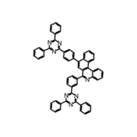 c1ccc(-c2nc(-c3ccccc3)nc(-c3ccc(-c4cc5c(-c6cccc(-c7nc(-c8ccccc8)nc(-c8ccccc8)n7)c6)nc6ccccc6c5c5ccccc45)cc3)n2)cc1